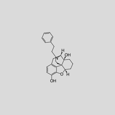 Oc1ccc2c3c1O[C@H]1CCC[C@@]4(O)[C@@H](C2)N(CCc2ccccc2)CC[C@]314